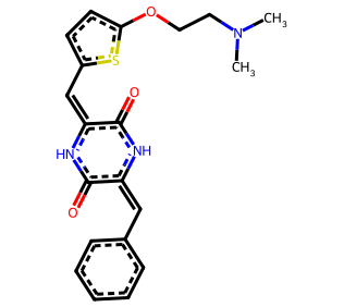 CN(C)CCOc1ccc(C=c2[nH]c(=O)c(=Cc3ccccc3)[nH]c2=O)s1